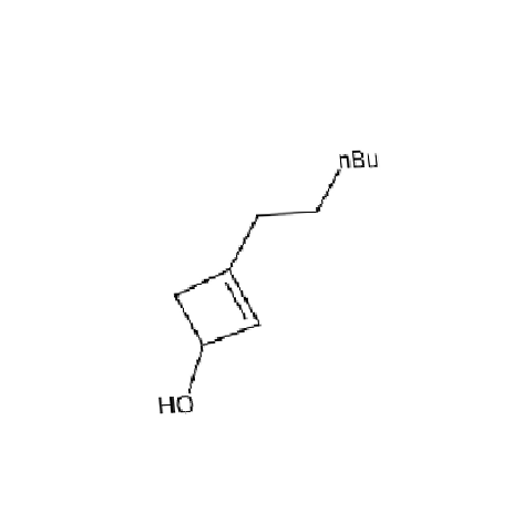 CCCCCCC1=CC(O)C1